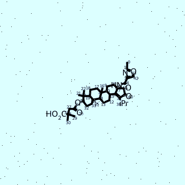 Cc1nc(C(=O)N[C@@]23CCC4C(CCC5C4(C)CCC4C(C)(C)[C@@H](OC(=O)CC(C)(C)C(=O)O)CC[C@]54C)C2=C(C(C)C)C(=O)C3)co1